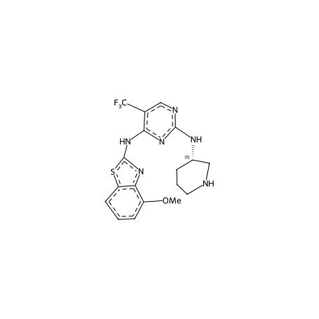 COc1cccc2sc(Nc3nc(N[C@H]4CCCNC4)ncc3C(F)(F)F)nc12